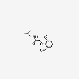 COc1cccc(C=O)c1OCC(=O)NCC(C)C